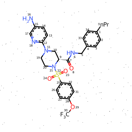 CCCc1ccc(CNC(=O)[C@H]2CN(c3ccc(N)cn3)CCN2S(=O)(=O)c2ccc(OC(F)(F)F)cc2)cc1